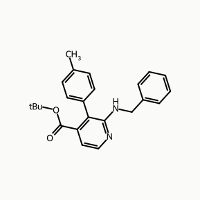 Cc1ccc(-c2c(C(=O)OC(C)(C)C)ccnc2NCc2ccccc2)cc1